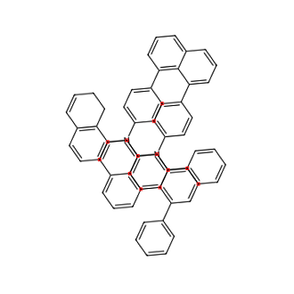 C1=Cc2cccc(N(c3ccc(-c4cccc5cccc(-c6ccc(N(c7cccc(-c8ccccc8)c7)c7cccc8ccccc78)cc6)c45)cc3)c3cccc(-c4ccccc4)c3)c2CC1